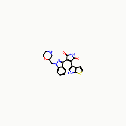 O=C1NC(=O)C(c2nn(CC3CNCCO3)c3ccccc23)=C1c1c[nH]c2sccc12